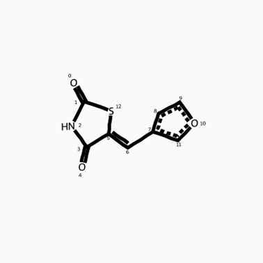 O=C1NC(=O)C(=Cc2ccoc2)S1